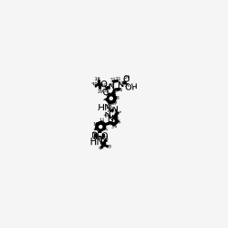 CC(C)(C)NS(=O)(=O)c1cccc(-c2ccc3cnc(Nc4ccc(C5CN(C(=O)O)CCN5C(=O)OC(C)(C)C)cc4)nn23)c1